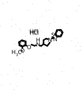 COc1ccccc1OCCNCC1CCN(c2nc3ccccc3s2)CC1.Cl.Cl